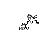 C=CCOC(=O)[C@H]1CCCN1C(=O)CCC(N)C(=O)O